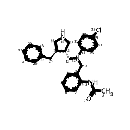 CC(=O)Nc1ccccc1CN(C[C@H]1CNC[C@@H]1Cc1ccccc1)c1ccc(Cl)cc1